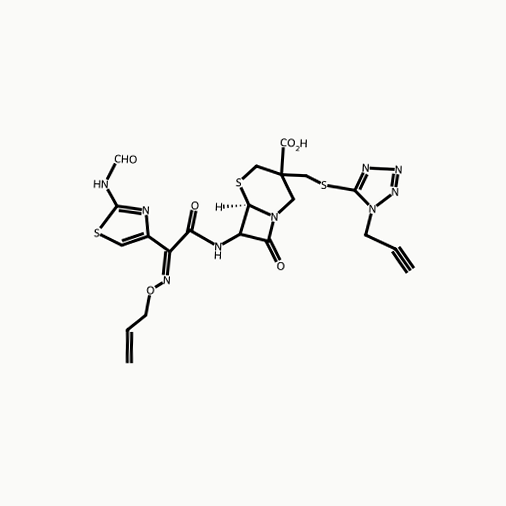 C#CCn1nnnc1SCC1(C(=O)O)CS[C@@H]2C(NC(=O)C(=NOCC=C)c3csc(NC=O)n3)C(=O)N2C1